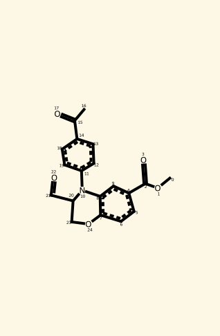 COC(=O)c1ccc2c(c1)N(c1ccc(C(C)=O)cc1)C(C=O)CO2